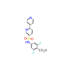 O=C(O)c1c(F)cc(NS(=O)(=O)c2ccc(-c3ccncc3)nc2)cc1F